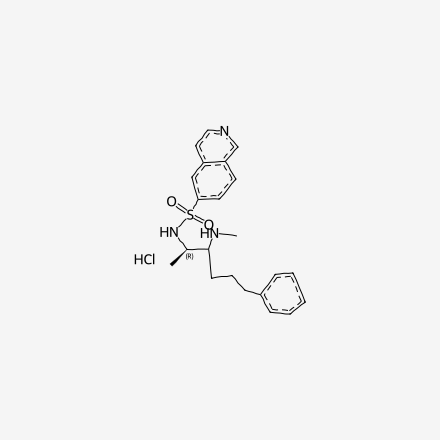 CNC(CCCc1ccccc1)[C@@H](C)NS(=O)(=O)c1ccc2cnccc2c1.Cl